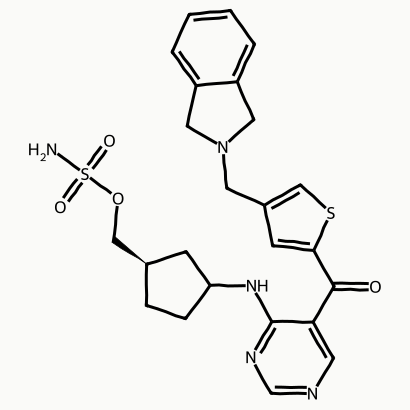 NS(=O)(=O)OC[C@@H]1CCC(Nc2ncncc2C(=O)c2cc(CN3Cc4ccccc4C3)cs2)C1